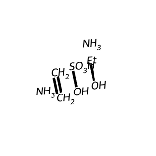 C=C.CCO.N.N.O=S(=O)(O)O